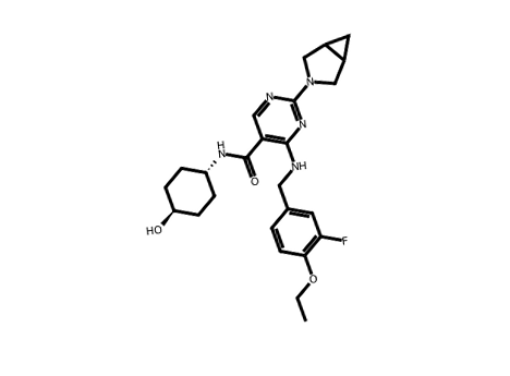 CCOc1ccc(CNc2nc(N3CC4CC4C3)ncc2C(=O)N[C@H]2CC[C@H](O)CC2)cc1F